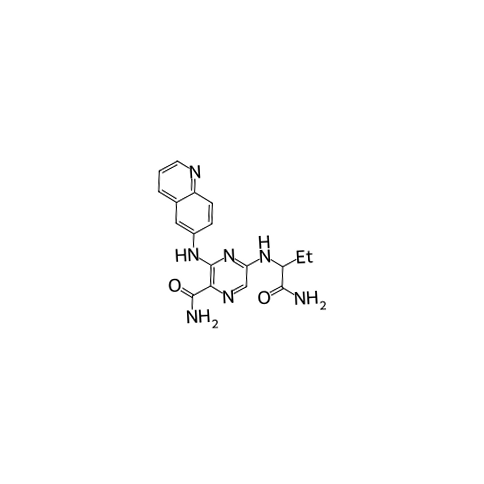 CCC(Nc1cnc(C(N)=O)c(Nc2ccc3ncccc3c2)n1)C(N)=O